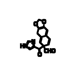 O=CC1(C(=O)c2c[nH]cn2)C=CC2=CC3=C(CC2=C1)OCO3